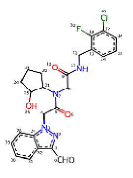 O=Cc1nn(CC(=O)N(CC(=O)NCc2cccc(Cl)c2F)C2CCCC2O)c2ccccc12